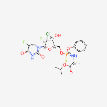 CC(C)OC(=O)[C@@H](C)N[P@@](=S)(OC[C@H]1O[C@@H](n2cc(F)c(=O)[nH]c2=O)[C@@](F)(Cl)[C@@H]1O)Oc1ccccc1